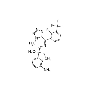 CCC(C)(ON=C(c1cccc(C(F)(F)F)c1F)c1nnnn1C)c1cccc(N)n1